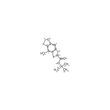 Cc1c2c(nc3c1CCO3)CN(C(=O)OC(C)(C)C)C2